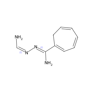 N/C=N\N=C(/N)C1=CC=CC=CC1